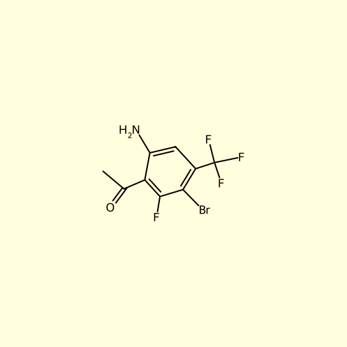 CC(=O)c1c(N)cc(C(F)(F)F)c(Br)c1F